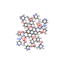 O=C(Nc1ccncc1)C(c1ccco1)N1C(=O)c2cc(Oc3ccc(Oc4cc(CC5CO5)ccn4)cc3)c3c4c(Oc5ccc(Oc6cc(CC7CO7)ccn6)cc5)cc5c6c(cc(Oc7ccc(Oc8cc(CC9CO9)ccn8)cc7)c(c7c(Oc8ccc(Oc9cc(CC%10CO%10)ccn9)cc8)cc(c2c37)C1=O)c64)C(=O)N(C(C(=O)Nc1ccncc1)c1ccco1)C5=O